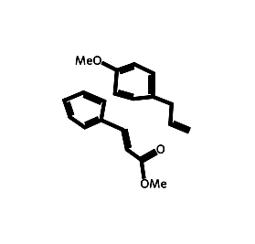 C=CCc1ccc(OC)cc1.COC(=O)C=Cc1ccccc1